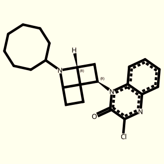 O=c1c(Cl)nc2ccccc2n1[C@@H]1C[C@H]2N(C3CCCCCCC3)C3CCC321